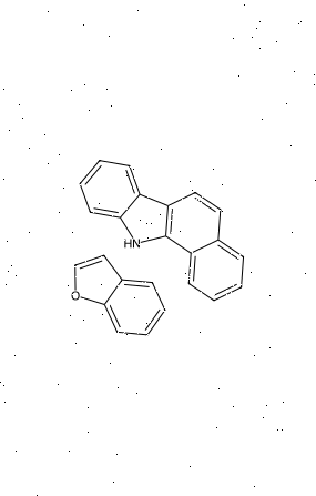 c1ccc2c(c1)ccc1c3ccccc3[nH]c21.c1ccc2occc2c1